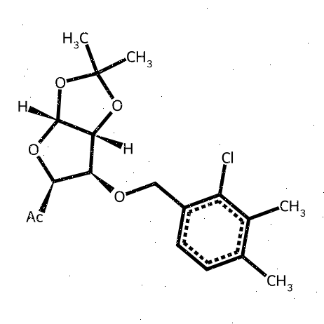 CC(=O)[C@H]1O[C@@H]2OC(C)(C)O[C@@H]2[C@H]1OCc1ccc(C)c(C)c1Cl